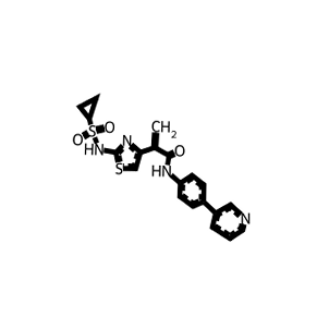 C=C(C(=O)Nc1ccc(-c2cccnc2)cc1)c1csc(NS(=O)(=O)C2CC2)n1